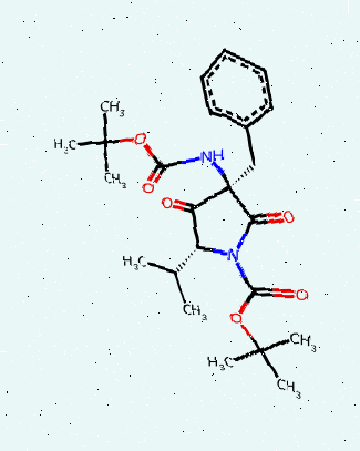 CC(C)[C@@H]1C(=O)[C@@](Cc2ccccc2)(NC(=O)OC(C)(C)C)C(=O)N1C(=O)OC(C)(C)C